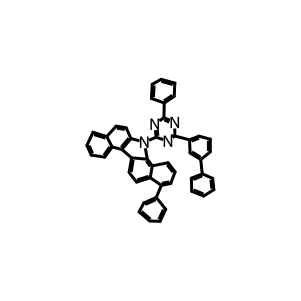 c1ccc(-c2cccc(-c3nc(-c4ccccc4)nc(-n4c5ccc6ccccc6c5c5ccc6c(-c7ccccc7)cccc6c54)n3)c2)cc1